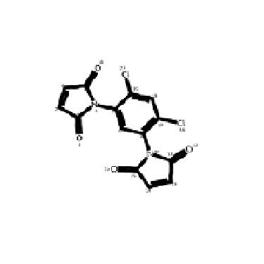 O=C1C=CC(=O)N1c1cc(N2C(=O)C=CC2=O)c(Cl)cc1Cl